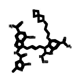 CCn1nc(C)cc1C(=O)Nc1nc2cc(C(N)=O)cc(OC)c2n1C/C=C/CN1c2c(cc(C(N)=O)cc2OCCCN2CC3(COC3)C2)NC1NC=O